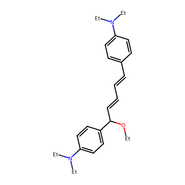 CCOC(/C=C/C=C/c1ccc(N(CC)CC)cc1)c1ccc(N(CC)CC)cc1